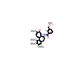 COc1cc2c(c(OC)c1OC)-c1ccc(SC)c(=O)cc1[C@@H](NC(=O)c1cccc(CO[N+](=O)[O-])c1F)CC2